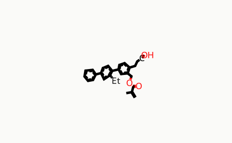 C=C(C)C(=O)OCc1cc(-c2ccc(-c3ccccc3)cc2CC)ccc1CCCO